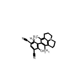 Cc1c(C#N)cc(C#N)c(C)c1-c1c(C)c2c3c(c1C)CCCN3CCC2